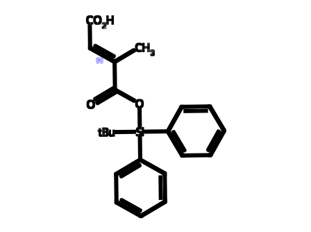 C/C(=C\C(=O)O)C(=O)O[Si](c1ccccc1)(c1ccccc1)C(C)(C)C